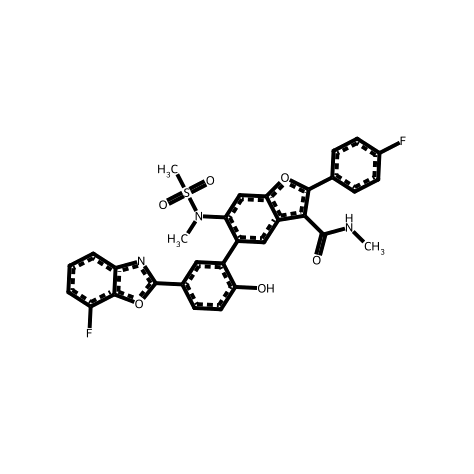 CNC(=O)c1c(-c2ccc(F)cc2)oc2cc(N(C)S(C)(=O)=O)c(-c3cc(-c4nc5cccc(F)c5o4)ccc3O)cc12